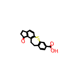 O=C(O)c1ccc2c(c1)Sc1ccc3c(c1CC2)C(=O)CC3